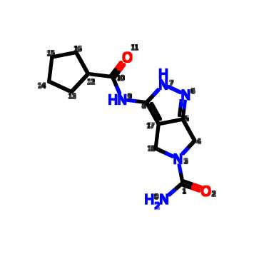 NC(=O)N1Cc2n[nH]c(NC(=O)C3CCCC3)c2C1